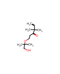 C=CC(C)(C)C(=O)CCOC(C)(C)CO